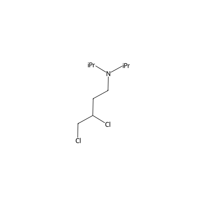 CC(C)N(CCC(Cl)CCl)C(C)C